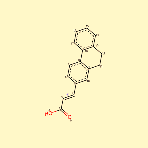 O=C(O)/C=C/c1ccc2c(c1)CCc1ccccc1-2